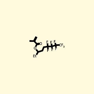 C=C(C)C(=O)OC(CC)CCC(F)(F)C(F)(F)C(F)(F)C(F)(F)F